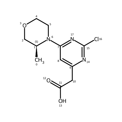 C[C@H]1COCCN1c1cc(CC(=O)O)nc(Cl)n1